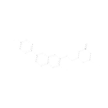 C=C1CC(C)CC(CCc2cc3cc(-c4ccc(C(=O)O)cc4)ccc3cc2O)C1